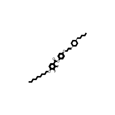 CCCCCCCCCOc1ccc(C(=O)Oc2ccc(OCC=C[C@H]3CC[C@H](CCCCC)CC3)cc2)c(F)c1F